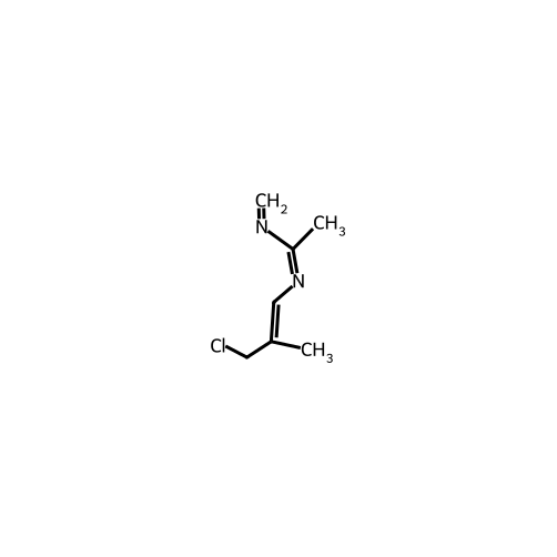 C=N/C(C)=N\C=C(/C)CCl